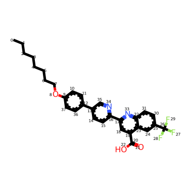 CCCCCCCCOc1ccc(-c2ccc(-c3cc(C(=O)O)c4cc(C(F)(F)F)ccc4n3)nc2)cc1